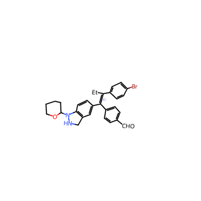 CC/C(=C(/c1ccc(C=O)cc1)c1ccc2c(c1)CNN2C1CCCCO1)c1ccc(Br)cc1